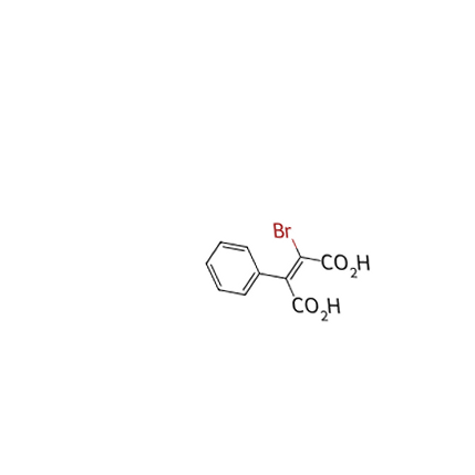 O=C(O)/C(Br)=C(\C(=O)O)c1ccccc1